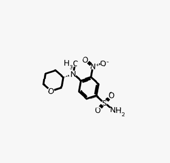 CN(c1ccc(S(N)(=O)=O)cc1[N+](=O)[O-])[C@H]1CCCOC1